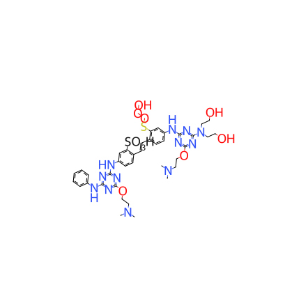 CN(C)CCOc1nc(Nc2ccccc2)nc(Nc2ccc(/C=C/c3ccc(Nc4nc(OCCN(C)C)nc(N(CCO)CCO)n4)cc3SOOO)c(S(=O)(=O)O)c2)n1